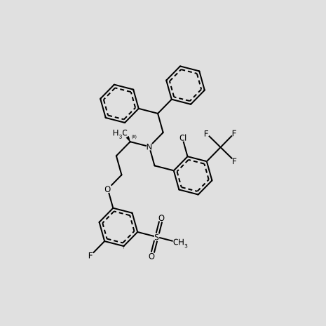 C[C@H](CCOc1cc(F)[c]c(S(C)(=O)=O)c1)N(Cc1cccc(C(F)(F)F)c1Cl)CC(c1ccccc1)c1ccccc1